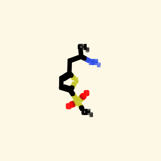 CC(N)Cc1ccc(S(C)(=O)=O)s1